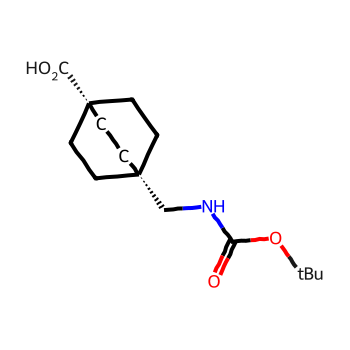 CC(C)(C)OC(=O)NC[C@]12CC[C@](C(=O)O)(CC1)CC2